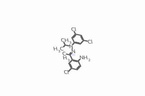 C/C(=N\N(c1cc(Cl)cc(Cl)c1)C(C)C)c1cc(Cl)ccc1N